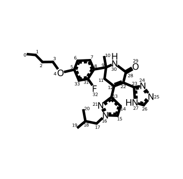 CCCCOc1ccc(C2(C)CC(c3ccn(CC(C)C)n3)=C(c3nnc[nH]3)C(=O)N2)c(F)c1